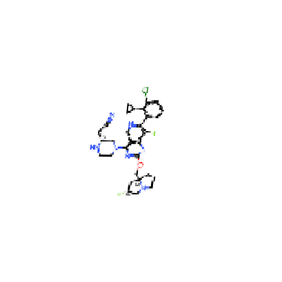 N#CC[C@H]1CN(c2nc(OC[C@@]34CCCN3C[C@H](F)C4)nc3c(F)c(-c4cccc(Cl)c4C4CC4)ncc23)CCN1